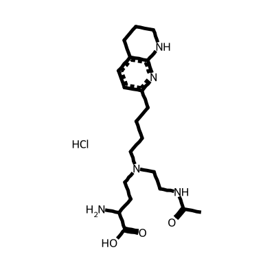 CC(=O)NCCN(CCCCc1ccc2c(n1)NCCC2)CCC(N)C(=O)O.Cl